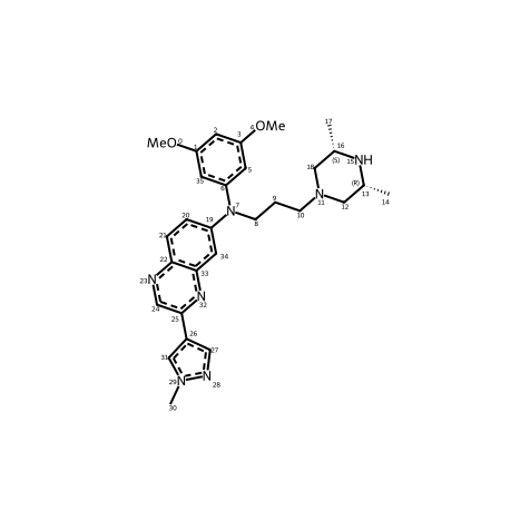 COc1cc(OC)cc(N(CCCN2C[C@@H](C)N[C@@H](C)C2)c2ccc3ncc(-c4cnn(C)c4)nc3c2)c1